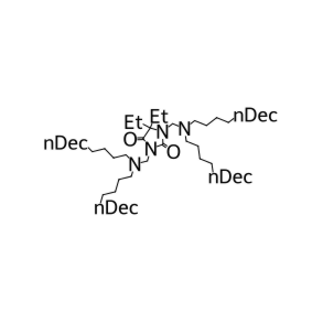 CCCCCCCCCCCCCCN(CCCCCCCCCCCCCC)CN1C(=O)N(CN(CCCCCCCCCCCCCC)CCCCCCCCCCCCCC)C(CC)(CC)C1=O